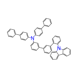 c1ccc(-c2ccc(N(c3ccc(-c4ccccc4)cc3)c3cccc(-c4cccc(-c5ccccc5-n5c6ccccc6c6ccccc65)c4)c3)cc2)cc1